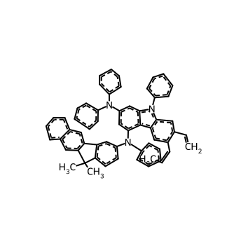 C=Cc1cc2c(cc1/C=C\C)c1c(N(c3ccccc3)c3ccc4c(c3)-c3cc5ccccc5cc3C4(C)C)cc(N(c3ccccc3)c3ccccc3)cc1n2-c1ccccc1